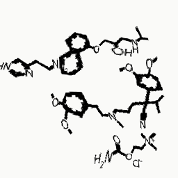 CC(C)NCC(O)COc1cccc2ccccc12.COc1ccc(CCN(C)CCCC(C#N)(c2ccc(OC)c(OC)c2)C(C)C)cc1OC.C[N+](C)(C)CCOC(N)=O.NCCc1c[nH]cn1.[Cl-]